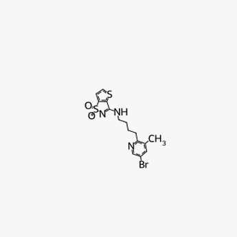 Cc1cc(Br)cnc1CCCCNC1=NS(=O)(=O)c2ccsc21